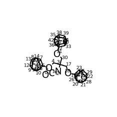 O=C=NC(CO[C]12[CH]3[CH]4[CH]5[CH]1[Fe]45321678[CH]2[CH]1[CH]6[CH]7[CH]28)(CO[C]12[CH]3[CH]4[CH]5[CH]1[Fe]45321678[CH]2[CH]1[CH]6[CH]7[CH]28)CO[C]12[CH]3[CH]4[CH]5[CH]1[Fe]45321678[CH]2[CH]1[CH]6[CH]7[CH]28